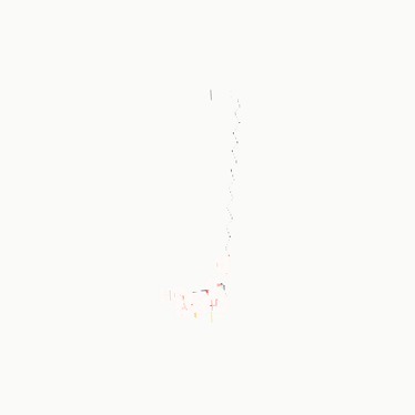 CCCCCCCCCCCCCCCCCCOC[C@H](CO)OC(=O)CP(=O)(O)OS